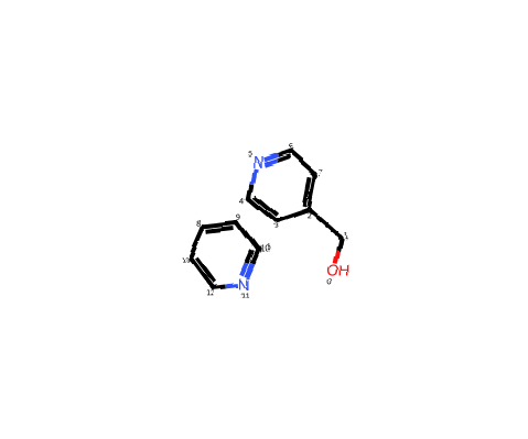 OCc1ccncc1.c1ccncc1